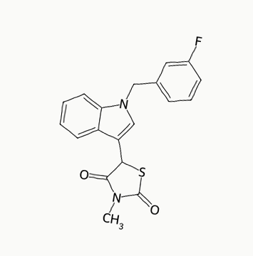 CN1C(=O)SC(c2cn(Cc3cccc(F)c3)c3ccccc23)C1=O